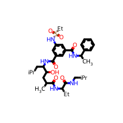 CCC(NC(=O)C(C)CC(O)C(CC(C)C)NC(=O)c1cc(NS(=O)(=O)CC)cc(C(=O)NC(C)c2ccccc2)c1)C(=O)NCC(C)C